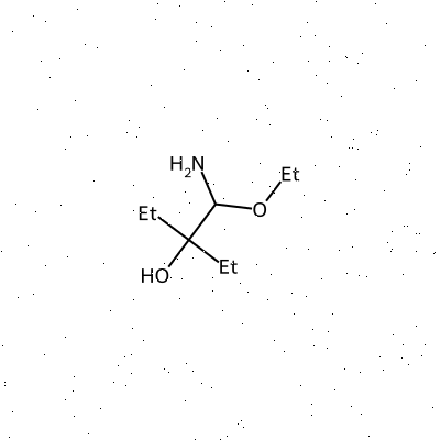 CCOC(N)C(O)(CC)CC